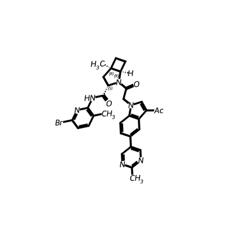 CC(=O)c1cn(CC(=O)N2[C@H](C(=O)Nc3nc(Br)ccc3C)C[C@@]3(C)CC[C@@H]23)c2ccc(-c3cnc(C)nc3)cc12